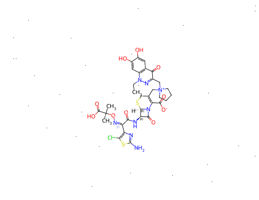 CCn1nc(C[N+]2(CC3=C(C(=O)[O-])N4C(=O)[C@@H](NC(=O)/C(=N\OC(C)(C)C(=O)O)c5nc(N)sc5Cl)[C@H]4SC3)CCCC2)c(=O)c2cc(O)c(O)cc21